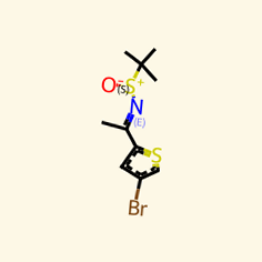 C/C(=N\[S@+]([O-])C(C)(C)C)c1cc(Br)cs1